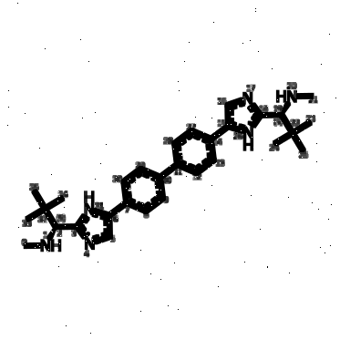 CN[C@H](c1ncc(-c2ccc(-c3ccc(-c4cnc([C@@H](NC)C(C)(C)C)[nH]4)cc3)cc2)[nH]1)C(C)(C)C